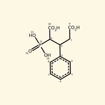 O=C(O)CC(c1ccccc1)C(C(=O)O)P(=O)(O)O